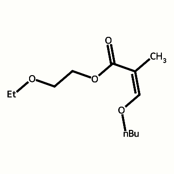 CCCCOC=C(C)C(=O)OCCOCC